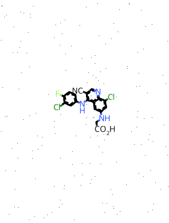 N#Cc1cnc2c(Cl)cc(NCC(=O)O)cc2c1Nc1ccc(F)c(Cl)c1